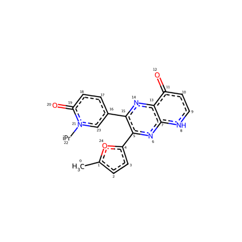 Cc1ccc(-c2nc3[nH]ccc(=O)c3nc2-c2ccc(=O)n(C(C)C)c2)o1